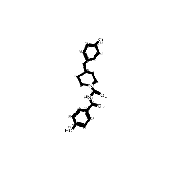 O=C(NC(=O)N1CCC(Cc2ccc(Cl)cc2)CC1)c1ccc(O)cc1